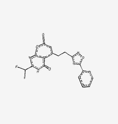 O=c1cc(CCc2noc(-c3ccccn3)n2)c2c(=O)[nH]c(C(F)F)nc2o1